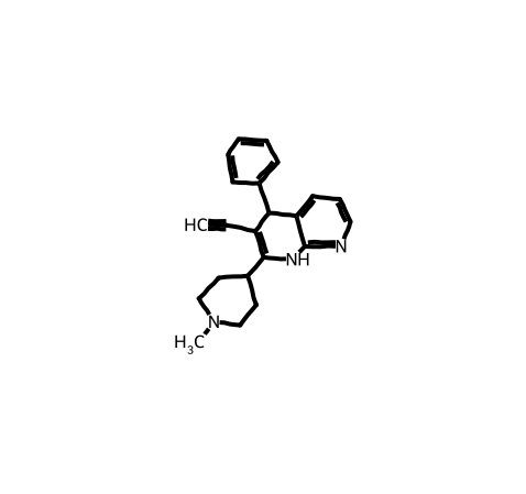 C#CC1=C(C2CCN(C)CC2)Nc2ncccc2C1c1ccccc1